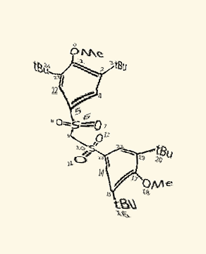 COc1c(C(C)(C)C)cc(S(=O)(=O)CS(=O)(=O)c2cc(C(C)(C)C)c(OC)c(C(C)(C)C)c2)cc1C(C)(C)C